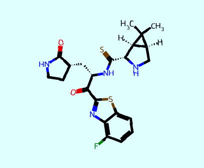 CC1(C)[C@@H]2[C@@H](C(=S)N[C@@H](C[C@@H]3CCNC3=O)C(=O)c3nc4c(F)cccc4s3)NC[C@@H]21